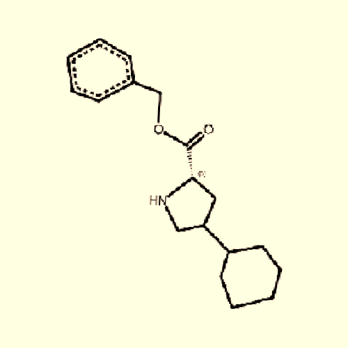 O=C(OCc1ccccc1)[C@@H]1CC(C2CCCCC2)CN1